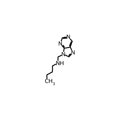 CCCCNCn1cnc2cncnc21